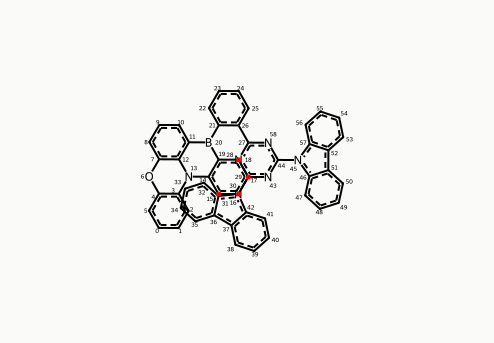 c1ccc2c(c1)Oc1cccc3c1N2c1ccccc1B3c1ccccc1-c1nc(-n2c3ccccc3c3ccccc32)nc(-n2c3ccccc3c3ccccc32)n1